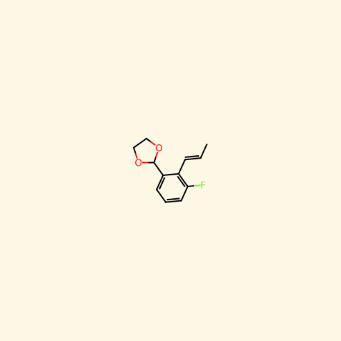 CC=Cc1c(F)cccc1C1OCCO1